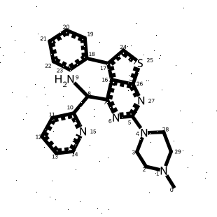 CN1CCN(c2nc(C(N)c3ccccn3)c3c(-c4ccccc4)csc3n2)CC1